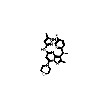 Cc1cc(Nc2cc(N3CCOCC3)n3nc(C)c([C@H](C)c4ccc(F)cn4)c3n2)n[nH]1